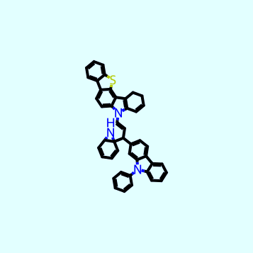 C1=CC2NC2(C(/C=C/n2c3c(c4c5sc6ccccc6c5ccc42)CCC=C3)c2ccc3c4ccccc4n(-c4ccccc4)c3c2)C=C1